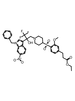 CCOC(=O)CCc1ccc(S(=O)(=O)C2CCN(CC(O)(c3cn(Cc4ccccc4)c4cc([N+](=O)[O-])ccc34)C(F)(F)F)CC2)c(OC)c1